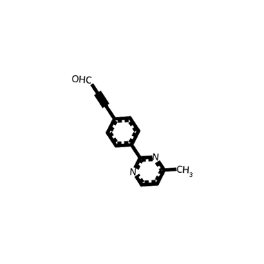 Cc1ccnc(-c2ccc(C#CC=O)cc2)n1